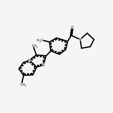 Cc1ccn2c(C)c(-c3ccc(C(=O)N4CCCC4)cc3C)nc2c1